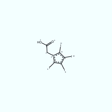 O=C(O)Cn1c(I)c(I)c(I)c1I